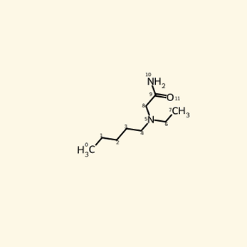 CCCCCN(CC)CC(N)=O